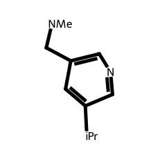 CNCc1cncc(C(C)C)c1